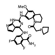 COc1cc2c(cc1Nc1nc(Nc3cc(F)cc(F)c3C(N)=O)c3ccnc-3[nH]1)N(C(=O)CN1CCCC1)CCC2